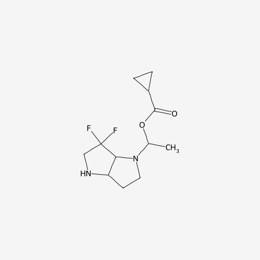 CC(OC(=O)C1CC1)N1CCC2NCC(F)(F)C21